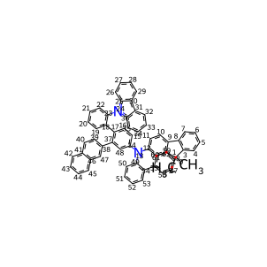 CC1(C)c2ccccc2-c2ccc(N(c3ccc(-c4ccccc4-n4c5ccccc5c5ccccc54)c(-c4ccc5ccccc5c4)c3)c3ccccc3-c3ccccc3)cc21